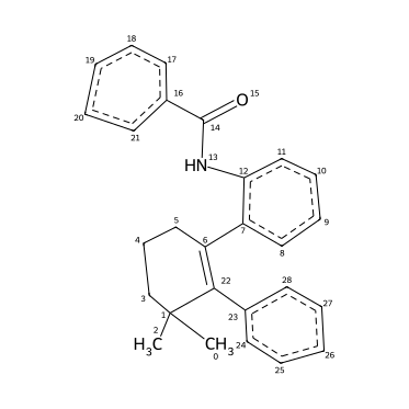 CC1(C)CCCC(c2ccccc2NC(=O)c2ccccc2)=C1c1ccccc1